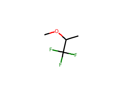 COC(C)C(F)(F)F